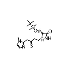 C[C@@H](O[Si](C)(C)C(C)(C)C)[C@H]1C(=O)N[C@H]1CCC(=S)Cc1nccn1C